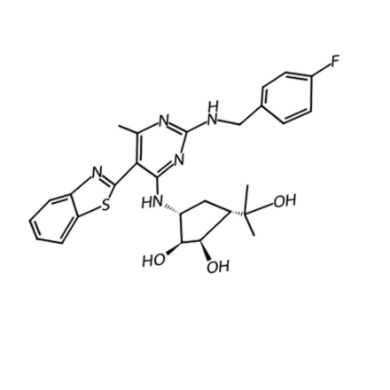 Cc1nc(NCc2ccc(F)cc2)nc(N[C@@H]2C[C@H](C(C)(C)O)[C@@H](O)[C@H]2O)c1-c1nc2ccccc2s1